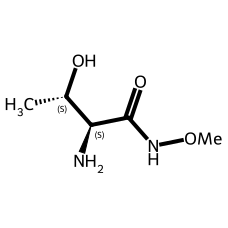 CONC(=O)[C@@H](N)[C@H](C)O